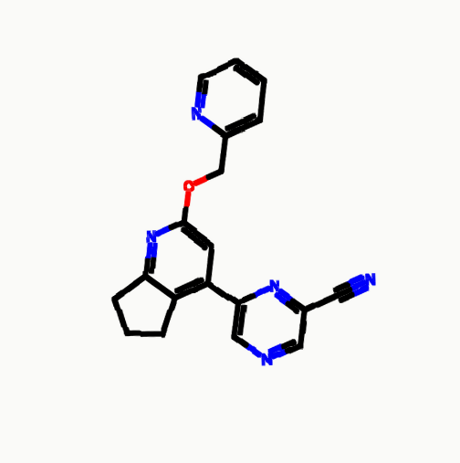 N#Cc1cncc(-c2cc(OCc3ccccn3)nc3c2CCC3)n1